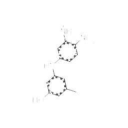 Cc1cc(O)cc(Nc2ccc(N)c(N)c2)c1